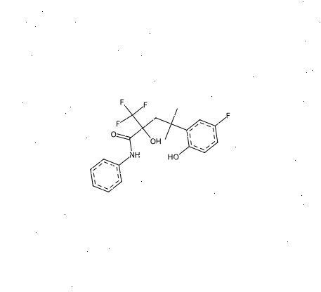 CC(C)(CC(O)(C(=O)Nc1ccccc1)C(F)(F)F)c1cc(F)ccc1O